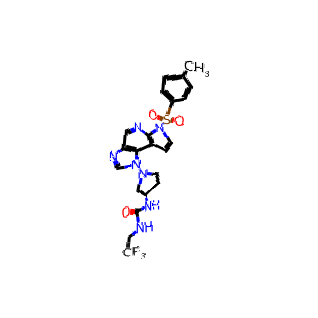 Cc1ccc(S(=O)(=O)n2ccc3c4c(cnc32)ncn4N2CC[C@@H](NC(=O)NCC(F)(F)F)C2)cc1